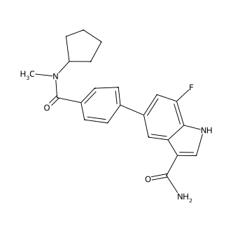 CN(C(=O)c1ccc(-c2cc(F)c3[nH]cc(C(N)=O)c3c2)cc1)C1CCCC1